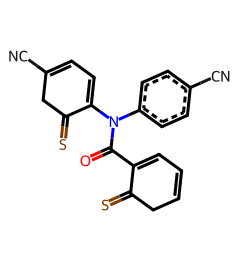 N#CC1=CC=C(N(C(=O)C2=CC=CCC2=S)c2ccc(C#N)cc2)C(=S)C1